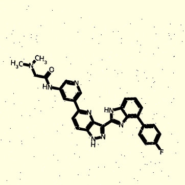 CN(C)CC(=O)Nc1cncc(-c2ccc3[nH]nc(-c4nc5c(-c6ccc(F)cc6)cccc5[nH]4)c3n2)c1